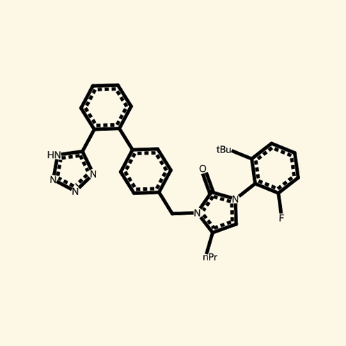 CCCc1cn(-c2c(F)cccc2C(C)(C)C)c(=O)n1Cc1ccc(-c2ccccc2-c2nnn[nH]2)cc1